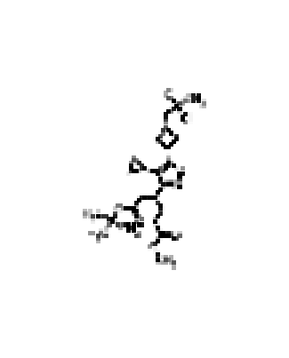 COC(=O)CC[C@@H](CC(=O)OC(C)(C)C)c1noc([C@H]2C[C@@H](CC(C)(C)C)C2)c1C1CC1